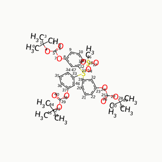 CC(C)(C)OC(=O)Oc1cccc(S(OS(C)(=O)=O)(c2cccc(OC(=O)OC(C)(C)C)c2)c2cccc(OC(=O)OC(C)(C)C)c2)c1